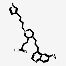 COc1ccc2nccc(CCCC3CCN(CCCCc4ccn(C)c4)CC3CCC(=O)O)c2c1